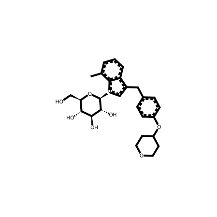 Cc1cccc2c(Cc3ccc(OC4CCOCC4)cc3)cn([C@@H]3O[C@H](CO)[C@@H](O)[C@H](O)[C@H]3O)c12